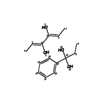 CC=C(O)C(O)=CC.CCC(O)(O)c1ccccc1